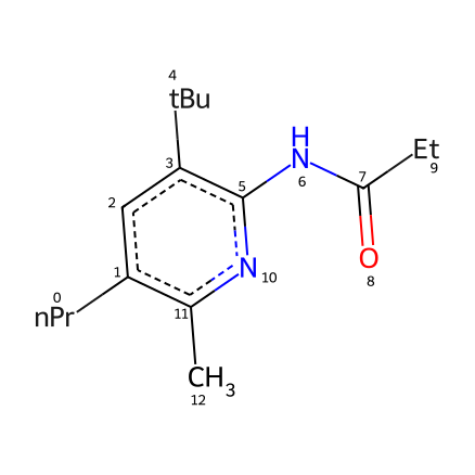 CCCc1cc(C(C)(C)C)c(NC(=O)CC)nc1C